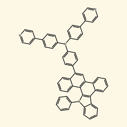 c1ccc(-n2c3ccccc3c3c4ccccc4c4cc(-c5ccc(N(c6ccc(-c7ccncc7)cc6)c6ccc(-c7ccncc7)cc6)cc5)c5ccccc5c4c32)cc1